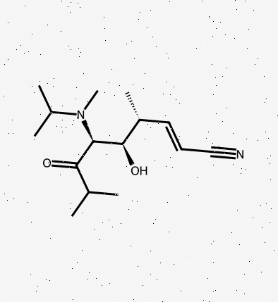 CC(C)C(=O)[C@H]([C@H](O)[C@H](C)/C=C/C#N)N(C)C(C)C